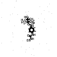 CCNC(=O)Nc1ccc(B(O)OC(C)(C)C(C)(C)O)cc1